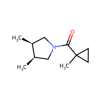 C[C@@H]1CN(C(=O)C2(C)CC2)C[C@@H]1C